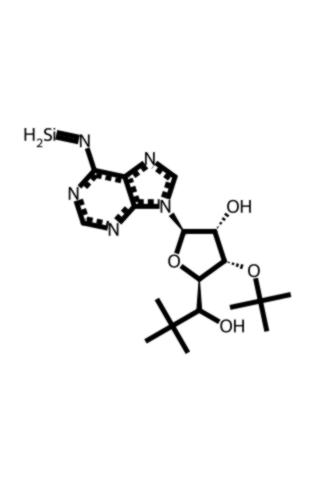 CC(C)(C)O[C@H]1[C@@H](O)[C@H](n2cnc3c(N=[SiH2])ncnc32)O[C@@H]1C(O)C(C)(C)C